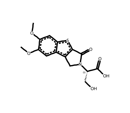 COc1cc2sc3c(c2cc1OC)CN([C@@H](CO)C(=O)O)C3=O